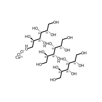 OC[C@@H](O)[C@@H](O)[C@H](O)[C@@H](O)CO.OC[C@@H](O)[C@@H](O)[C@H](O)[C@@H](O)CO.OC[C@@H](O)[C@@H](O)[C@H](O)[C@@H](O)CO.[Ca+2].[Cl-].[Cl-]